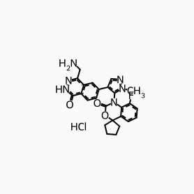 Cl.Cn1ncc(-c2ccc3c(=O)[nH]nc(CN)c3c2)c1N1C(=O)OC2(CCCC2)c2cccc(F)c21